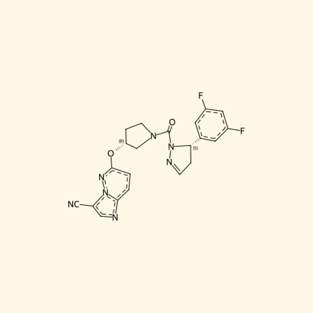 N#Cc1cnc2ccc(O[C@@H]3CCN(C(=O)N4N=CC[C@H]4c4cc(F)cc(F)c4)C3)nn12